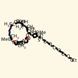 CCOCCOCCOCCOCCOCCOCCOCCNC(=S)O[C@@H]1CC[C@@H](C[C@@H](N)[C@@H]2C[C@@H](O)[C@H](C)/C=C(\C)[C@@H](O)[C@@H](O)C(=O)[C@H](C)C[C@H](C)/C=C/C=C/C=C(\C)[C@@H](OC)C[C@@H]3CC[C@@H](C)[C@@](O)(O3)C(=O)C(=O)N3CCCC[C@H]3C(=O)O2)C[C@H]1OC